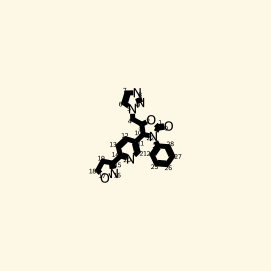 O=C1OC(Cn2ccnn2)C(c2ccc(C3=NOCC3)nc2)N1c1ccccc1